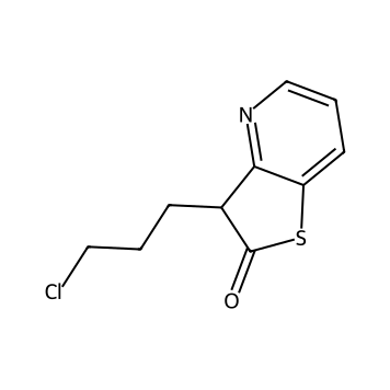 O=C1Sc2cccnc2C1CCCCl